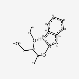 CCO[C@H](CO)C(C)Oc1nc2ccccc2[nH]1